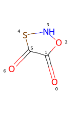 O=c1o[nH]sc1=O